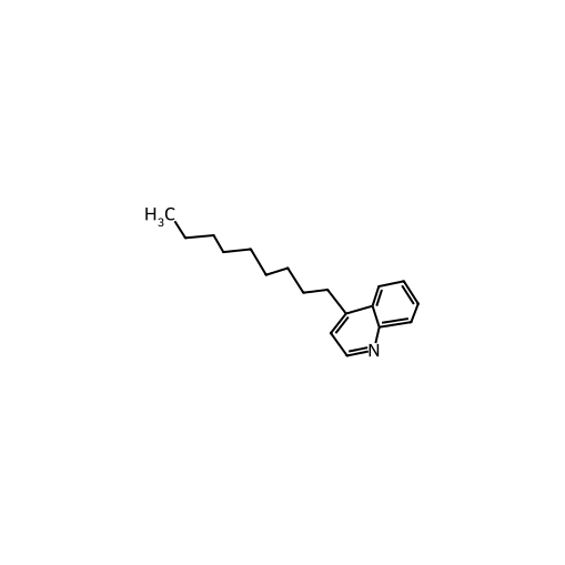 CCCCCCCCCc1ccnc2ccccc12